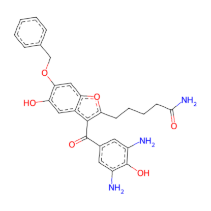 NC(=O)CCCCc1oc2cc(OCc3ccccc3)c(O)cc2c1C(=O)c1cc(N)c(O)c(N)c1